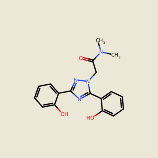 CN(C)C(=O)Cn1nc(-c2ccccc2O)nc1-c1ccccc1O